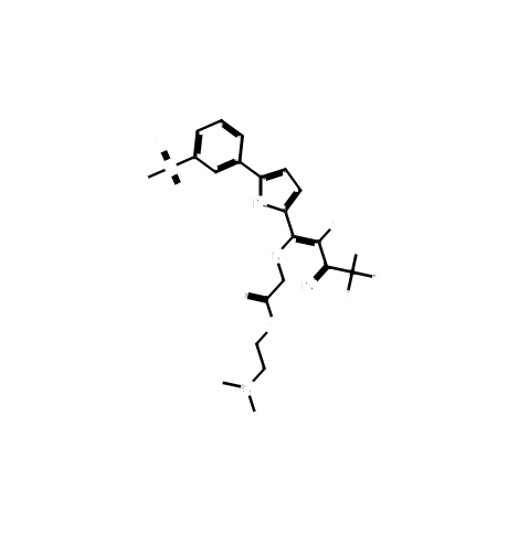 CN(C)CCOC(=O)CN/C(=C(/Cl)C(=N)C(F)(F)F)c1ccc(-c2cccc(S(C)(=O)=O)c2)[nH]1